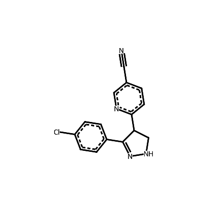 N#Cc1ccc(C2CNN=C2c2ccc(Cl)cc2)nc1